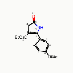 CCOC(=O)C1=C(c2ccc(OC)cc2)NC(=O)C1